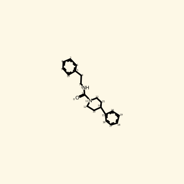 O=C(NCCc1ccccc1)N1CCC(c2ccccc2)CC1